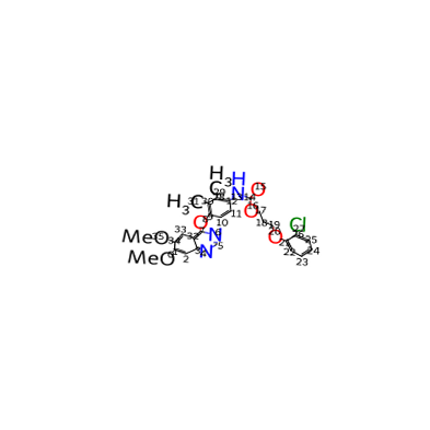 COc1cc2ncnc(Oc3ccc(NC(=O)OCCCOc4ccccc4Cl)c(C)c3C)c2cc1OC